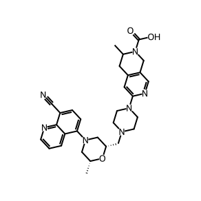 CC1Cc2cc(N3CCN(C[C@H]4CN(c5ccc(C#N)c6ncccc56)C[C@@H](C)O4)CC3)ncc2CN1C(=O)O